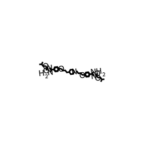 CC(C)COC(=O)/N=C(\N)c1ccc(OCCCC2CCN(CCCOc3ccc(/C(N)=N/C(=O)OCC(C)C)cc3)CC2)cc1